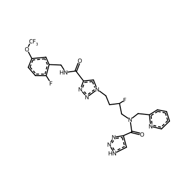 O=C(NCc1cc(OC(F)(F)F)ccc1F)c1cn(CCC(F)CN(Cc2ccccn2)C(=O)c2c[nH]nn2)nn1